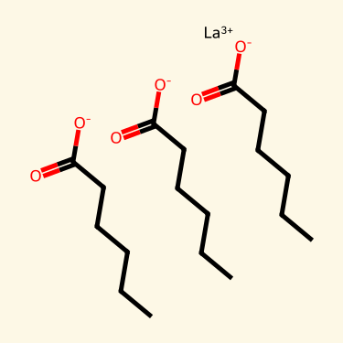 CCCCCC(=O)[O-].CCCCCC(=O)[O-].CCCCCC(=O)[O-].[La+3]